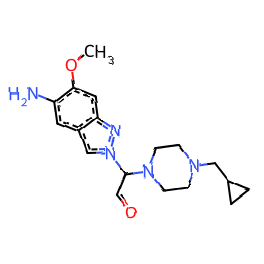 COc1cc2nn(C(C=O)N3CCN(CC4CC4)CC3)cc2cc1N